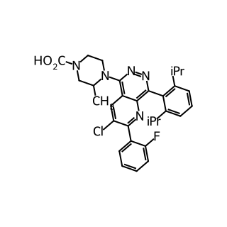 CC(C)c1cccc(C(C)C)c1-c1nnc(N2CCN(C(=O)O)CC2C)c2cc(Cl)c(-c3ccccc3F)nc12